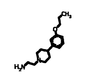 CCCOc1cccc(C2CCN(CCN)CC2)c1